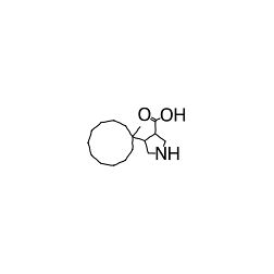 CC1(C2CNCC2C(=O)O)CCCCCCCCCC1